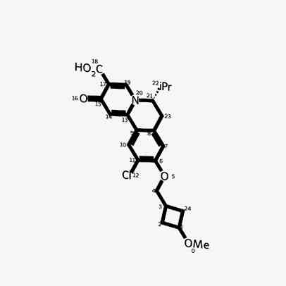 COC1CC(COc2cc3c(cc2Cl)-c2cc(=O)c(C(=O)O)cn2[C@H](C(C)C)C3)C1